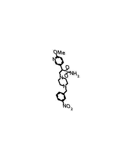 COc1ccc(C(CN2CCN(Cc3cccc([N+](=O)[O-])c3)CC2)S(N)(=O)=O)cn1